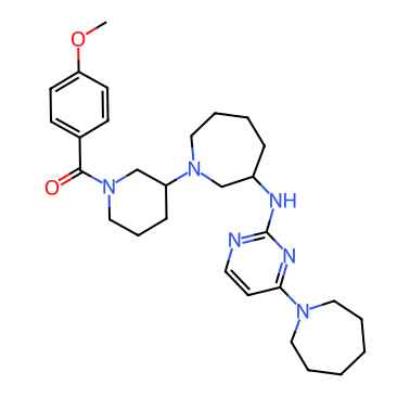 COc1ccc(C(=O)N2CCCC(N3CCCCC(Nc4nccc(N5CCCCCC5)n4)C3)C2)cc1